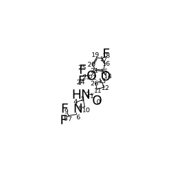 O=C(NC1CN(CC(F)F)C1)[C@H]1C[C@H](Oc2cc(F)ccc2OC(F)F)C1